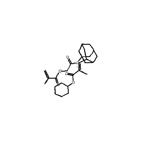 C=C(C)C(=O)OCC(=O)OC12CC3CC(C1)C(/C=C(\C)C(=O)OC1CCCCC1)C(C3)C2